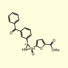 COC(=O)c1ccc([SH]2(=O)N[C@H]2c2cccc(C(=O)c3ccccc3)c2)o1